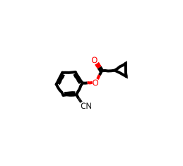 N#Cc1ccccc1OC(=O)C1CC1